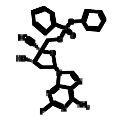 C#C[C@]1(COP(=O)(Oc2ccccc2)c2[c]cccc2)O[C@@H](n2cnc3c(N)nc(F)nc32)C[C@@H]1O